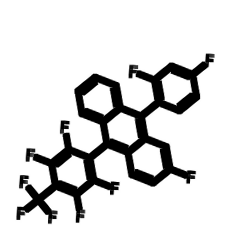 Fc1ccc(-c2c3ccccc3c(-c3c(F)c(F)c(C(F)(F)F)c(F)c3F)c3ccc(F)cc23)c(F)c1